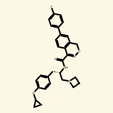 O=C(N[C@@H](Cc1ccc(OC2CC2)cc1)CN1CCC1)C1=NOCc2cc(-c3ccc(F)cc3)ccc21